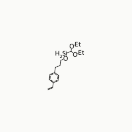 C=Cc1ccc(CCCO[SiH2]C(OCC)OCC)cc1